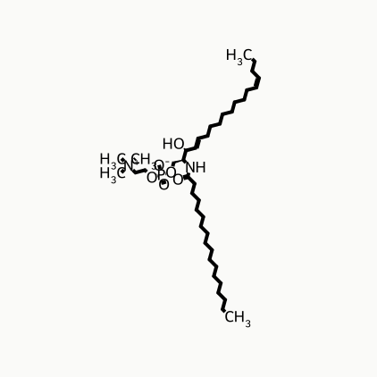 CCC/C=C\CCCCCCCC/C=C/[C@@H](O)[C@H](COP(=O)([O-])OCC[N+](C)(C)C)NC(=O)CCCCCCCCCCCCCCCCC